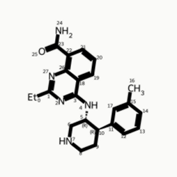 CCc1nc(N[C@H]2CNCC[C@@H]2c2cccc(C)c2)c2cccc(C(N)=O)c2n1